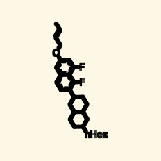 CC=CCOc1cc(F)c2c(F)c(C3CCC4CC(CCCCCC)CCC4C3)ccc2c1